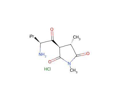 CC(C)[C@H](N)C(=O)[C@@H]1C(=O)N(C)C(=O)[C@H]1C.Cl